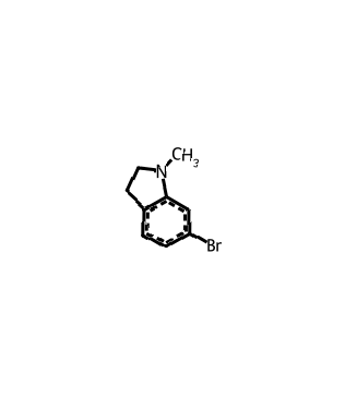 CN1CCc2ccc(Br)cc21